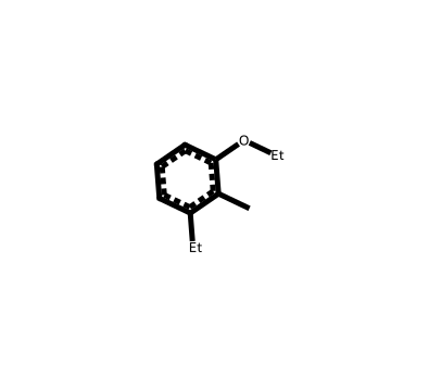 [CH2]Cc1cccc(OCC)c1C